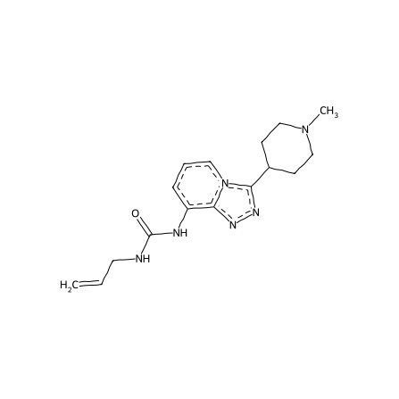 C=CCNC(=O)Nc1cccn2c(C3CCN(C)CC3)nnc12